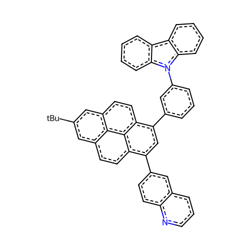 CC(C)(C)c1cc2ccc3c(-c4cccc(-n5c6ccccc6c6ccccc65)c4)cc(-c4ccc5ncccc5c4)c4ccc(c1)c2c34